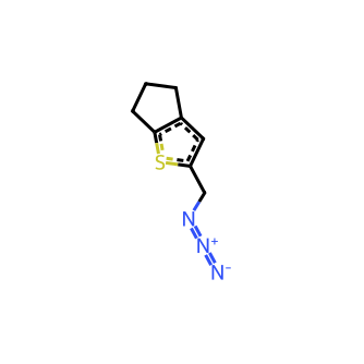 [N-]=[N+]=NCc1cc2c(s1)CCC2